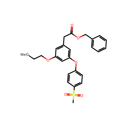 COCCOc1cc(CC(=O)OCc2ccccc2)cc(Oc2ccc(S(C)(=O)=O)cc2)c1